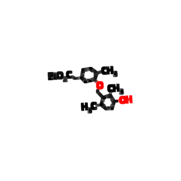 CCOC(=O)Cc1ccc(C)c(OCc2c(C)ccc(O)c2C)c1